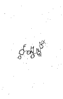 COc1ccc(F)c(CONC(=O)c2cncc(-c3ccc(OC(C)C)nc3)n2)c1